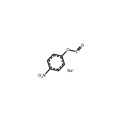 O=[S-]Oc1ccc([N+](=O)[O-])cc1.[Na+]